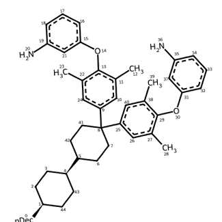 CCCCCCCCCC[C@H]1CC[C@@H](C2CCC(c3cc(C)c(Oc4cccc(N)c4)c(C)c3)(c3cc(C)c(Oc4cccc(N)c4)c(C)c3)CC2)CC1